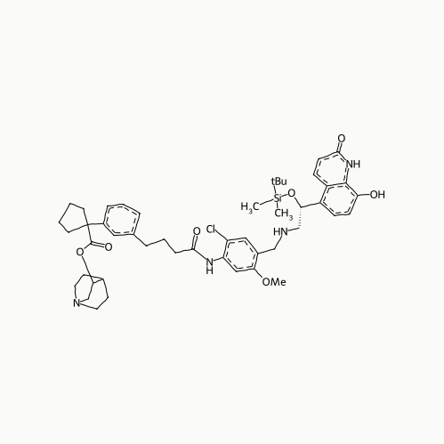 COc1cc(NC(=O)CCCc2cccc(C3(C(=O)OC4CN5CCC4CC5)CCCC3)c2)c(Cl)cc1CNC[C@H](O[Si](C)(C)C(C)(C)C)c1ccc(O)c2[nH]c(=O)ccc12